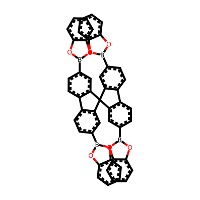 c1ccc2c(c1)OB(c1ccc3c(c1)C1(c4cc(B5Oc6ccccc6O5)ccc4-3)c3cc(B4Oc5ccccc5O4)ccc3-c3ccc(B4Oc5ccccc5O4)cc31)O2